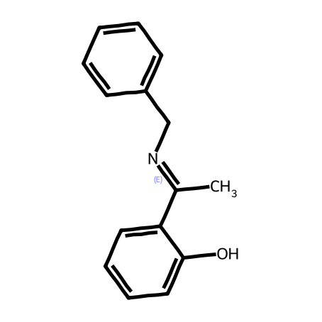 C/C(=N\Cc1ccccc1)c1ccccc1O